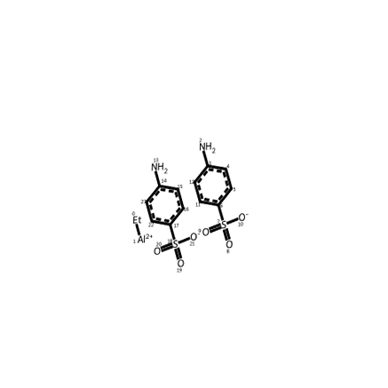 C[CH2][Al+2].Nc1ccc(S(=O)(=O)[O-])cc1.Nc1ccc(S(=O)(=O)[O-])cc1